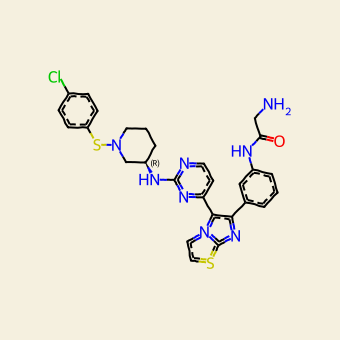 NCC(=O)Nc1cccc(-c2nc3sccn3c2-c2ccnc(N[C@@H]3CCCN(Sc4ccc(Cl)cc4)C3)n2)c1